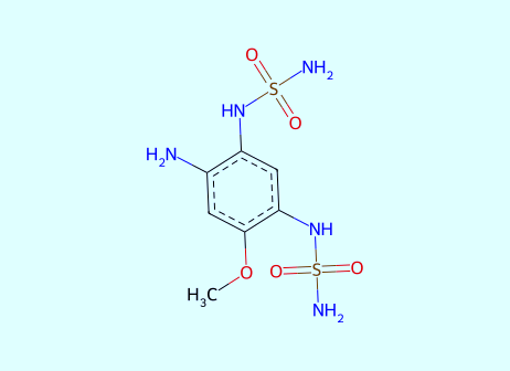 COc1cc(N)c(NS(N)(=O)=O)cc1NS(N)(=O)=O